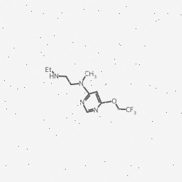 CCNCCN(C)c1cc(OCC(F)(F)F)ncn1